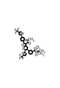 CNC(=O)c1c(-c2ccc(-n3cc(C(F)(F)F)cn3)cc2)oc2nc(-n3ccc(C(F)(F)F)n3)c(-c3cccc(C(=O)NC(C)(C)C)c3)cc12